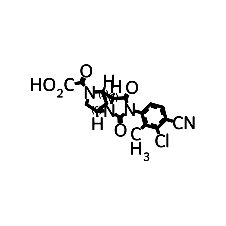 Cc1c(N2C(=O)[C@@H]3[C@@H]4C[C@@H](CN4C(=O)C(=O)O)N3C2=O)ccc(C#N)c1Cl